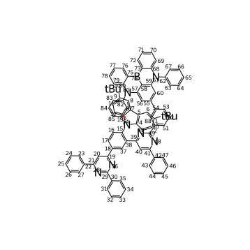 CC(C)(C)c1ccc2c(c1)c1cc(C(C)(C)C)ccc1n2-c1ccc(-c2cc(-c3ccccc3)nc(-c3ccccc3)n2)cc1-c1cc(-c2ccccc2)nc(-c2cccc(-c3cc4c5c(c3)N(c3ccccc3)c3ccccc3B5c3ccccc3N4c3ccccc3)c2)n1